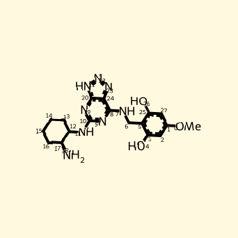 COc1cc(O)c(CNc2nc(NC3CCCCC3N)nc3[nH]nnc23)c(O)c1